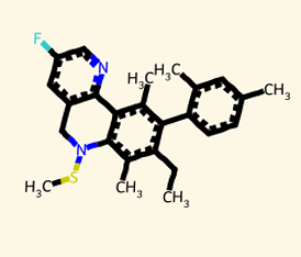 CCc1c(C)c2c(c(C)c1-c1ccc(C)cc1C)-c1ncc(F)cc1CN2SC